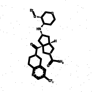 CCO[C@@H]1COCC[C@@H]1N[C@@H]1C[C@H]2CN(C(N)=O)C[C@@]2(C(=O)N2CCc3ncc(C(F)(F)F)cc3C2)C1